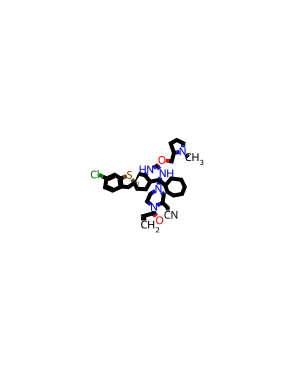 C=CC(=O)N1CCN(C2(C3CCCCCC3)NC(OCC3CCCN3C)NC3C[C@@]4(CCC32)Cc2ccc(Cl)cc2S4)CC1CC#N